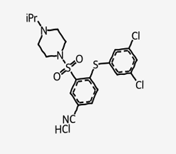 CC(C)N1CCN(S(=O)(=O)c2cc(C#N)ccc2Sc2cc(Cl)cc(Cl)c2)CC1.Cl